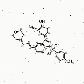 Cc1ccc(S(=O)(=O)n2cc(-c3ccc(O)c(C#N)c3)c3cc(C=CCN4CCOCC4)cnc32)cc1